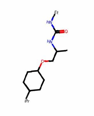 CCNC(=O)NC(C)COC1CCC(C(C)C)CC1